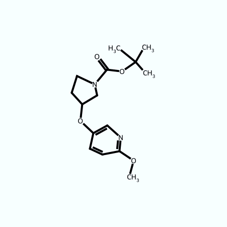 COc1ccc(OC2CCN(C(=O)OC(C)(C)C)C2)cn1